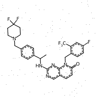 CC(Nc1ncc2ccc(=O)n(Cc3ccc(F)cc3C(F)(F)F)c2n1)c1ccc(CN2CCC(F)(F)CC2)cc1